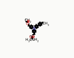 C=CC(=O)OCCc1ccc(N(c2ccc(CCOC(=O)C(=C)C)cc2)c2ccc(-c3ccc(CC)cc3)cc2)cc1